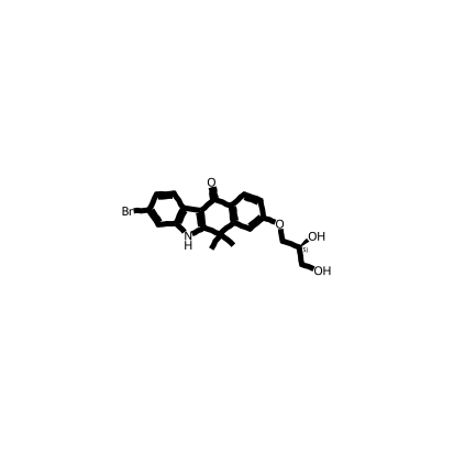 CC1(C)c2cc(OC[C@@H](O)CO)ccc2C(=O)c2c1[nH]c1cc(Br)ccc21